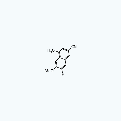 COc1cc2c(C)cc(C#N)cc2cc1F